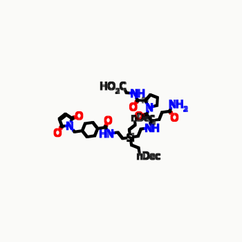 CCCCCCCCCCCC[Si](CCCCCCCCCCCC)(CCNC(=O)C1CCC(CN2C(=O)C=CC2=O)CC1)CCN[C@H](CCC(N)=O)C(=O)N1CCC[C@@H]1C(=O)NCC(=O)O